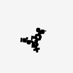 C[SiH](C)OCc1nc(C(C)(C)C)cn1-c1ccc([N+](=O)[O-])cc1F